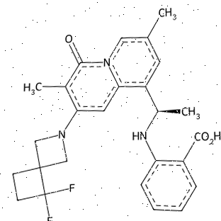 Cc1cc([C@@H](C)Nc2ccccc2C(=O)O)c2cc(N3CC4(CCC4(F)F)C3)c(C)c(=O)n2c1